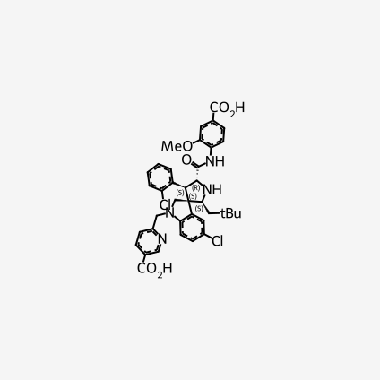 COc1cc(C(=O)O)ccc1NC(=O)[C@@H]1N[C@@H](CC(C)(C)C)[C@@]2(CN(Cc3ccc(C(=O)O)cn3)c3ccc(Cl)cc32)[C@H]1c1ccccc1Cl